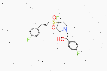 O=S(=O)(CC=Cc1ccc(F)cc1)C1(F)CCN(CC(O)c2ccc(F)cc2)CC1